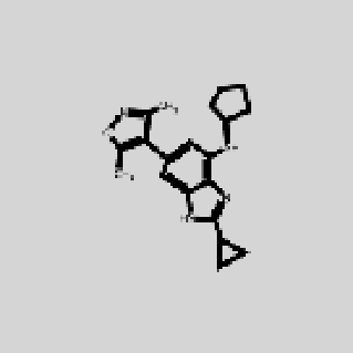 Cc1noc(C)c1-c1cc(NC2CCCC2)c2nc(C3CC3)[nH]c2c1